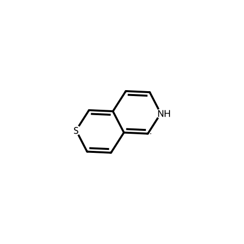 [C]1=C2C=CSC=C2C=CN1